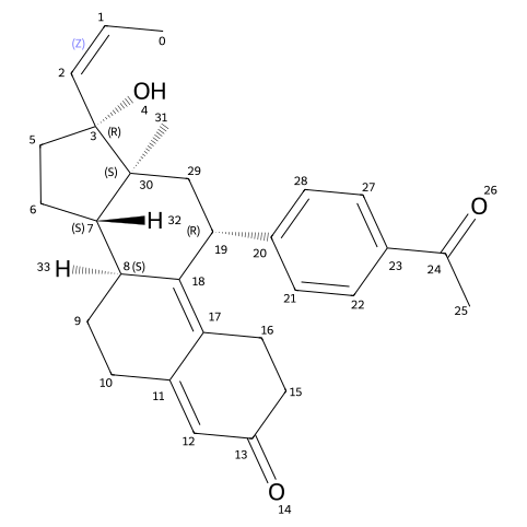 C/C=C\[C@]1(O)CC[C@H]2[C@@H]3CCC4=CC(=O)CCC4=C3[C@@H](c3ccc(C(C)=O)cc3)C[C@@]21C